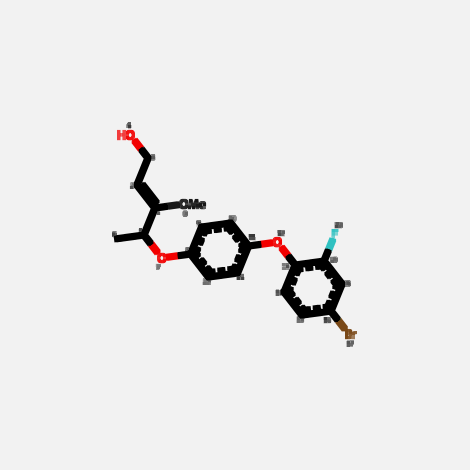 CO/C(=C\CO)C(C)Oc1ccc(Oc2ccc(Br)cc2F)cc1